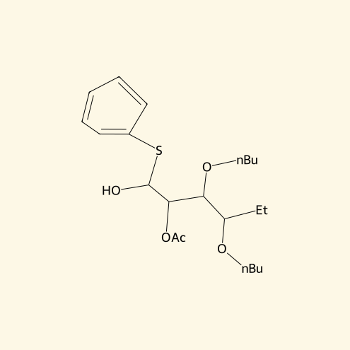 CCCCOC(CC)C(OCCCC)C(OC(C)=O)C(O)Sc1ccccc1